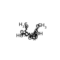 COCCCC1CC(NC(=O)C2(C[C@@H](COCCOC)C(=O)O)CCCC2)CCC1C(=O)O